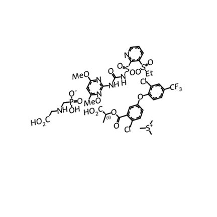 CCS(=O)(=O)c1cccnc1S(=O)(=O)NC(=O)Nc1nc(OC)cc(OC)n1.C[C@H](OC(=O)c1cc(Oc2ccc(C(F)(F)F)cc2Cl)ccc1Cl)C(=O)O.C[S+](C)C.O=C(O)CNCP(=O)([O-])O